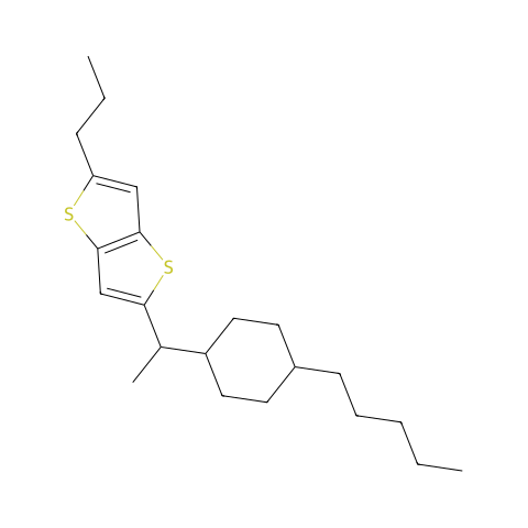 CCCCCC1CCC(C(C)c2cc3sc(CCC)cc3s2)CC1